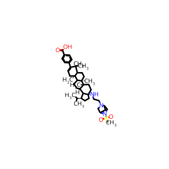 CC(C)[C@@H]1CC[C@]2(NCCN3CC4CC3CN4S(C)(=O)=O)CC[C@]3(C)[C@H](CCC4[C@@]5(C)CC=C(c6ccc(C(=O)O)cc6)C(C)(C)C5CC[C@]43C)C12